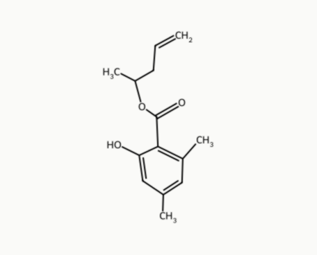 C=CCC(C)OC(=O)c1c(C)cc(C)cc1O